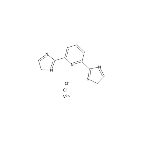 C1=NC(c2cccc(C3=NCC=N3)n2)=NC1.[Cl-].[Cl-].[V+2]